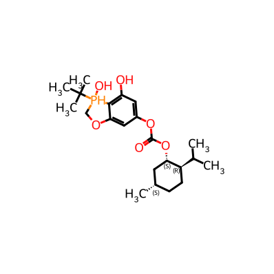 CC(C)[C@H]1CC[C@H](C)C[C@@H]1OC(=O)Oc1cc(O)c2c(c1)OC[PH]2(O)C(C)(C)C